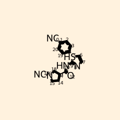 N#Cc1ccc([SH]2C=CN=C2NC(=O)[C@H]2CCN(C#N)C2)cc1